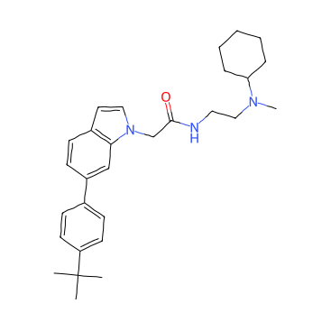 CN(CCNC(=O)Cn1ccc2ccc(-c3ccc(C(C)(C)C)cc3)cc21)C1CCCCC1